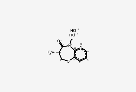 CN1C(=O)[C@@H](N)COc2cccnc21.Cl.Cl